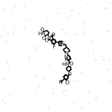 N#Cc1ccc(OC2CCC(NC(=O)c3ccc(N4CCC(CN5CC6CCC5CN6c5cc6c(cc5F)C(=O)N(C5CCC(=O)NC5=O)C6=O)CC4)nn3)CC2)cc1Cl